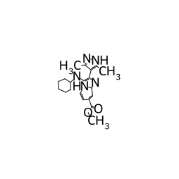 COC(=O)c1ccn2c(NC3CCCCC3)c(-c3c(C)n[nH]c3C)nc2c1